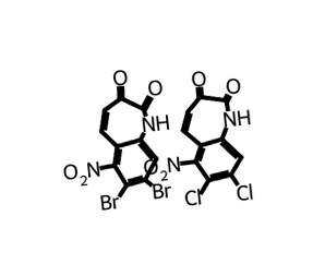 O=c1ccc2c([N+](=O)[O-])c(Br)c(Br)cc2[nH]c1=O.O=c1ccc2c([N+](=O)[O-])c(Cl)c(Cl)cc2[nH]c1=O